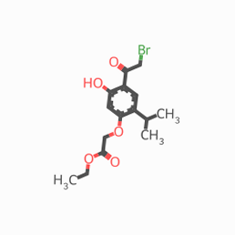 CCOC(=O)COc1cc(O)c(C(=O)CBr)cc1C(C)C